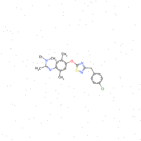 CCN(C)C(C)=Nc1cc(C)c(Oc2nc(Cc3ccc(Cl)cc3)ns2)cc1C